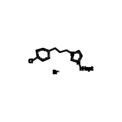 CCCCCCCn1cc[n+](CCCc2ccc(Cl)cc2)c1.[Br-]